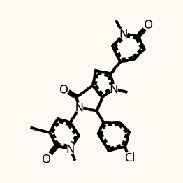 Cc1cc(N2C(=O)c3cc(-c4ccc(=O)n(C)c4)n(C)c3C2c2ccc(Cl)cc2)cn(C)c1=O